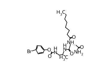 CCCCCCCC(=O)N[C@H](CC(N)=O)C(=O)N[C@@H](C)CNC(=O)Oc1ccc(Br)cc1